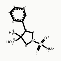 CNS(=O)(=O)N1CC(c2cbccc2)C(N)(C(=O)O)C1